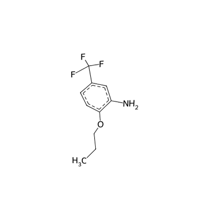 CCCOc1ccc(C(F)(F)F)cc1N